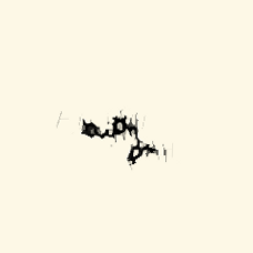 CN1CCN(Cc2cn3c(=O)c(O)c(-c4ncc(Cc5ccc(F)cc5C(=O)N(C)C)s4)nc3s2)CC1